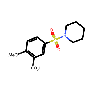 COc1ccc(S(=O)(=O)N2CCCCC2)cc1C(=O)O